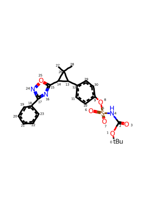 CC(C)(C)OC(=O)NS(=O)(=O)Oc1ccc(C2C(c3nc(-c4ccccc4)no3)C2(C)C)cc1